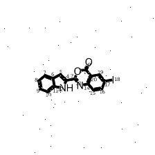 O=c1oc(-c2cc3ccccc3[nH]2)nc2ccc(I)cc12